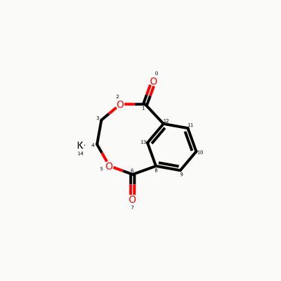 O=C1OCCOC(=O)c2cccc1c2.[K]